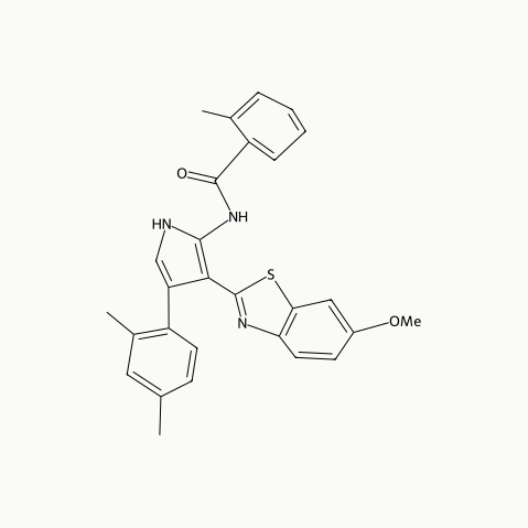 COc1ccc2nc(-c3c(-c4ccc(C)cc4C)c[nH]c3NC(=O)c3ccccc3C)sc2c1